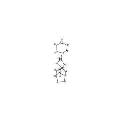 C1CC(N2CC3(CC4CCC(C3)N4)C2)CCO1